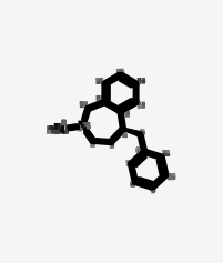 CCCCN1CC[C@H](Cc2ccccc2)c2ccccc2C1